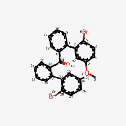 COc1ccc(Br)c(-c2ccccc2C(=O)c2ccccc2-c2cc(C)ccc2Br)c1